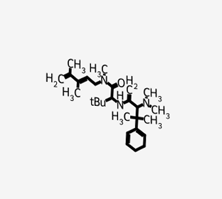 C=C(C)/C(C)=C/CN(C)C(=O)C(NC(=C)C(N(C)C)C(C)(C)C1=CCCC=C1)C(C)(C)C